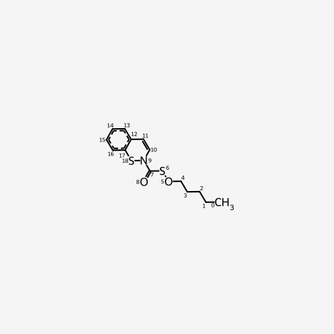 CCCCCOSC(=O)N1C=Cc2ccccc2S1